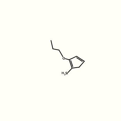 CCCOC1=C([SiH3])CC=C1